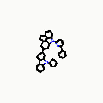 c1ccc(-c2cccc(-n3c4cccc5ccc6cc(-c7ccc8c9ccccc9n(-c9ccccc9)c8c7)cc3c6c54)n2)cc1